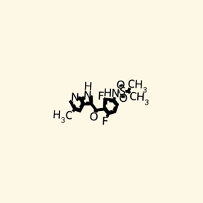 Cc1cnc2[nH]cc(C(=O)c3c(F)ccc(NS(=O)(=O)C(C)C)c3F)c2c1